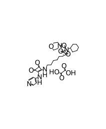 O=C(O)C(=O)O.O=c1c(NCCCCCCS(=O)(=O)N(ON2CCOCC2)C2CCCCC2)c(Nc2ccncc2)c1=O